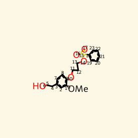 COc1cc(CCO)ccc1OCCCOS(=O)(=O)c1ccccc1